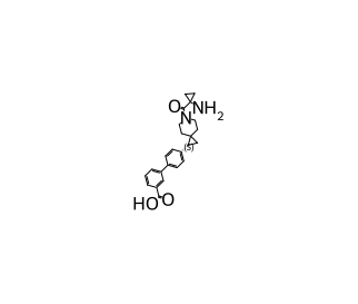 NC1(C(=O)N2CCC3(CC2)C[C@@H]3c2ccc(-c3cccc(C(=O)O)c3)cc2)CC1